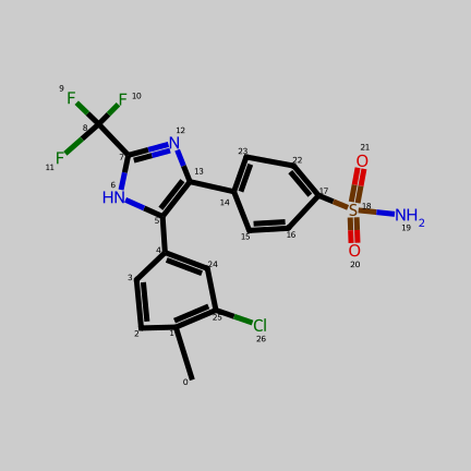 Cc1ccc(-c2[nH]c(C(F)(F)F)nc2-c2ccc(S(N)(=O)=O)cc2)cc1Cl